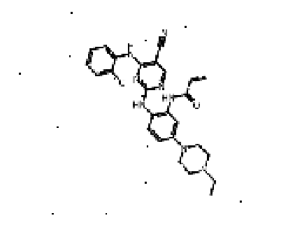 C=CC(=O)Nc1cc(N2CCN(CC)CC2)ccc1Nc1ncc(C#N)c(Nc2ccccc2Cl)n1